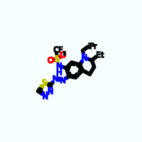 CCC1CCc2cc(N=Nc3nncs3)c(NS(=O)(=O)C(F)(F)F)cc2N1CC(C)C